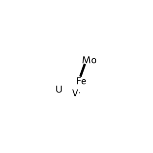 [Fe][Mo].[U].[V]